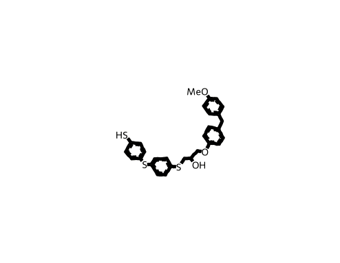 COc1ccc(Cc2ccc(OCC(O)CSc3ccc(Sc4ccc(S)cc4)cc3)cc2)cc1